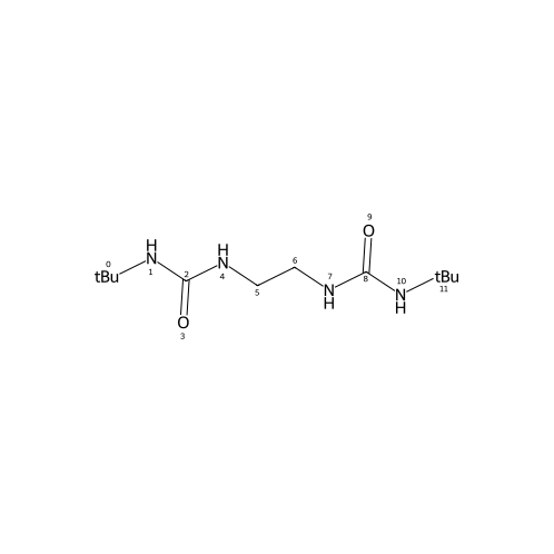 CC(C)(C)NC(=O)NCCNC(=O)NC(C)(C)C